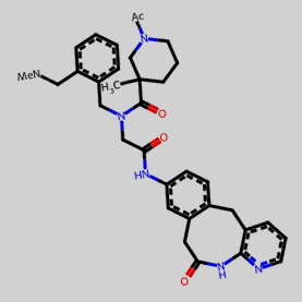 CNCc1ccccc1CN(CC(=O)Nc1ccc2c(c1)CC(=O)Nc1ncccc1C2)C(=O)C1(C)CCCN(C(C)=O)C1